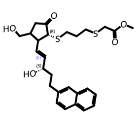 COC(=O)CSCCCS[C@H]1C(=O)CC(CO)C1/C=C/[C@@H](O)CCc1ccc2ccccc2c1